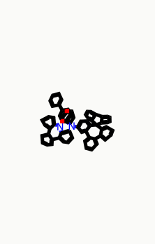 c1ccc(-c2ccc(N(c3ccc4c(c3)-c3ccccc3-c3ccccc3C43c4ccccc4-c4ccccc43)c3cccc4c3N(c3ccccc3)c3ccccc3-c3ccccc3-4)cc2)cc1